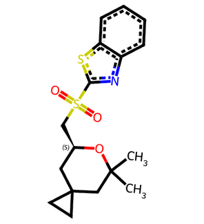 CC1(C)CC2(CC2)C[C@@H](CS(=O)(=O)c2nc3ccccc3s2)O1